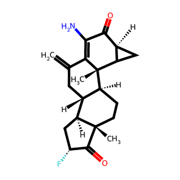 C=C1C[C@H]2[C@@H]3C[C@@H](F)C(=O)[C@@]3(C)CC[C@@H]2[C@]2(C)C1=C(N)C(=O)[C@H]1CC12